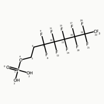 O=P(O)(O)OCCC(F)(F)C(F)(F)C(F)(F)C(F)(F)C(F)(F)C(F)(F)F